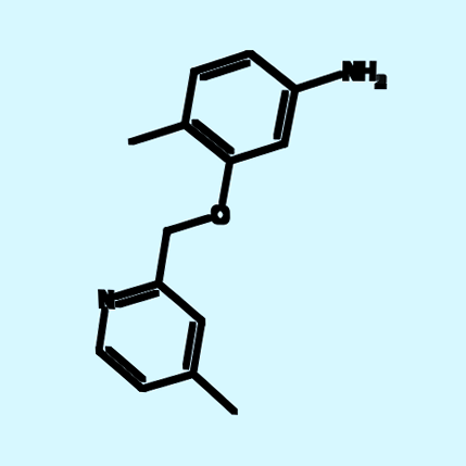 Cc1ccnc(COc2cc(N)ccc2C)c1